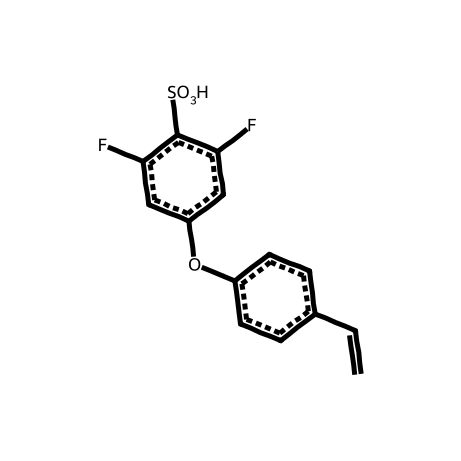 C=Cc1ccc(Oc2cc(F)c(S(=O)(=O)O)c(F)c2)cc1